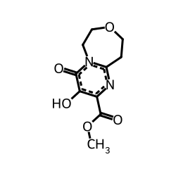 COC(=O)c1nc2n(c(=O)c1O)CCOCC2